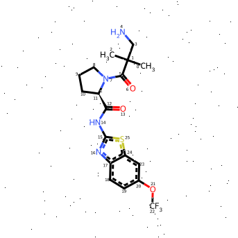 CC(C)(CN)C(=O)N1CCC[C@@H]1C(=O)Nc1nc2ccc(OC(F)(F)F)cc2s1